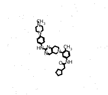 Cc1ccc(NC(=O)CC2CCCC2)cc1N1CCc2nc(Nc3ccc(N4CCN(C)CC4)cc3)ncc2C1